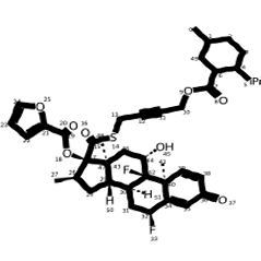 CC1CCC(C(C)C)C(C(=O)OCC#CCSC(=O)[C@@]2(OC(=O)c3ccco3)[C@H](C)C[C@H]3[C@@H]4C[C@H](F)C5=CC(=O)C=C[C@]5(C)[C@@]4(F)[C@@H](O)C[C@@]32C)C1